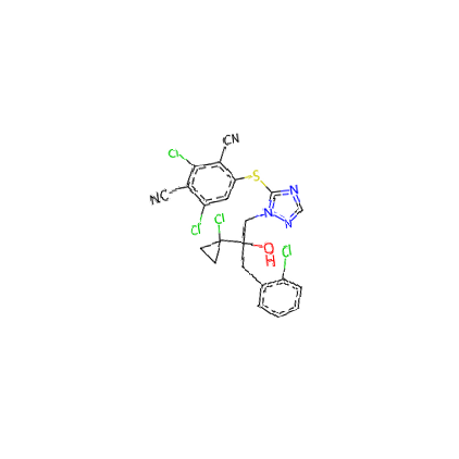 N#Cc1c(Cl)cc(Sc2ncnn2CC(O)(Cc2ccccc2Cl)C2(Cl)CC2)c(C#N)c1Cl